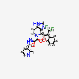 Cc1ncccc1-c1nnc(C(=O)N2CCc3[nH]cnc3[C@H]2c2oc3ccccc3c2C(F)F)o1